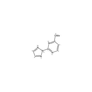 COc1ccnc(-n2nccn2)n1